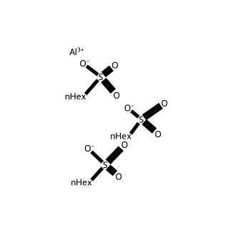 CCCCCCS(=O)(=O)[O-].CCCCCCS(=O)(=O)[O-].CCCCCCS(=O)(=O)[O-].[Al+3]